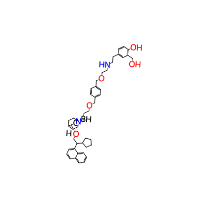 OCc1cc(CCNCCOCc2ccc(COCCB[N+]34CCC(CC3)[C@H](OCC(c3cccc5ccccc35)C3CCCC3)C4)cc2)ccc1O